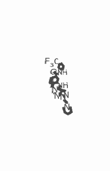 Cc1ccc(C(=O)Nc2cccc(C(F)(F)F)c2)cc1Nc1ncnc2c1cnn2CCN1CCCCC1